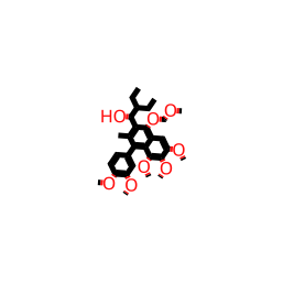 CCC(CC)C(O)c1c(C)c(-c2ccc(OC)c(OC)c2)c2c(OC)c(OC)c(OC)cc2c1OCOC